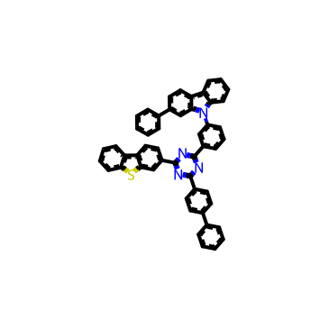 c1ccc(-c2ccc(-c3nc(-c4cccc(-n5c6ccccc6c6ccc(-c7ccccc7)cc65)c4)nc(-c4ccc5c(c4)sc4ccccc45)n3)cc2)cc1